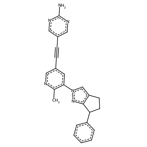 Cc1ncc(C#Cc2cnc(N)nc2)cc1-n1cc2c(n1)C(c1ccccc1)CC2